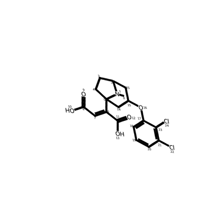 CN1C2CCC1(/C(=C\C(=O)O)C(=O)O)CC(Oc1cccc(Cl)c1Cl)C2